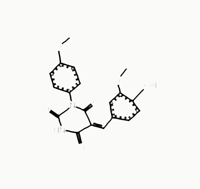 COc1ccc(N2C(=O)NC(=O)C(=Cc3ccc(O)c(OC)c3)C2=O)cc1